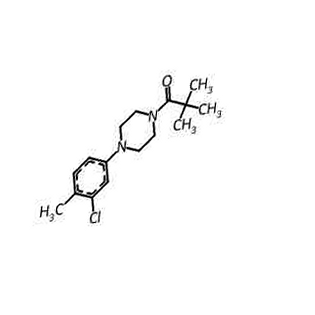 Cc1ccc(N2CCN(C(=O)C(C)(C)C)CC2)cc1Cl